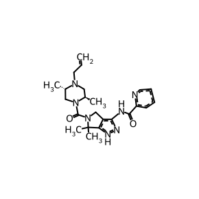 C=CCN1C[C@@H](C)N(C(=O)N2Cc3c(NC(=O)c4ccccn4)n[nH]c3C2(C)C)C[C@@H]1C